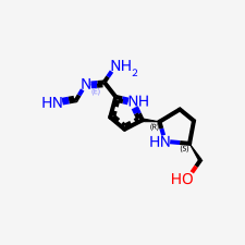 N=C/N=C(/N)c1ccc([C@H]2CC[C@@H](CO)N2)[nH]1